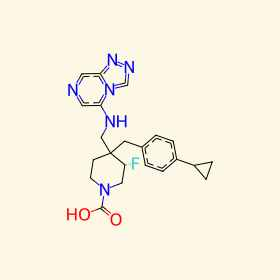 O=C(O)N1CCC(CNc2cncc3nncn23)(Cc2ccc(C3CC3)cc2)[C@H](F)C1